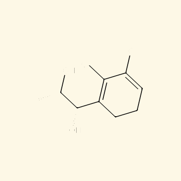 C[C@H](O)[C@@H](O)C1=C(Cl)C(Cl)=CCC1